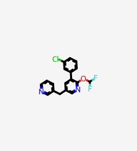 FC(F)Oc1ncc(Cc2cccnc2)cc1-c1cccc(Cl)c1